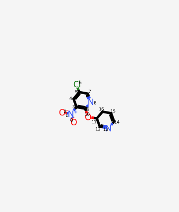 O=[N+]([O-])c1cc(Cl)cnc1OC1C=NC=CC1